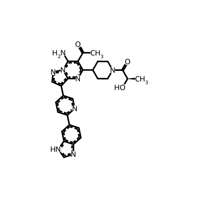 CC(=O)c1c(C2CCN(C(=O)[C@@H](C)O)CC2)nc2c(-c3ccc(-c4ccc5nc[nH]c5c4)nc3)cnn2c1N